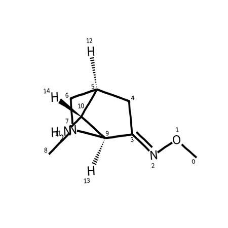 CO/N=C1\C[C@@H]2CN(C)[C@H]1[C@@H]2N